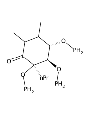 CCC[C@]1(OP)C(=O)C(C)C(C)[C@H](OP)[C@H]1OP